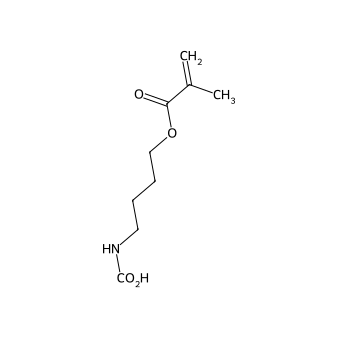 C=C(C)C(=O)OCCCCNC(=O)O